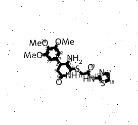 COc1cc(C2CC(=O)NC(SCC(=O)Nc3nccs3)=C2N)cc(OC)c1OC